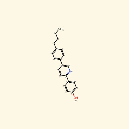 CCCCc1ccc(-c2ccc(-c3ccc(O)cc3)nc2)cc1